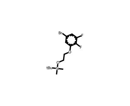 CC(C)(C)[Si](C)(C)OCCOc1cc(Br)cc(F)c1F